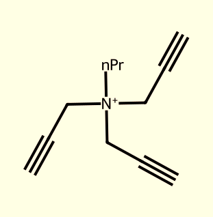 C#CC[N+](CC#C)(CC#C)CCC